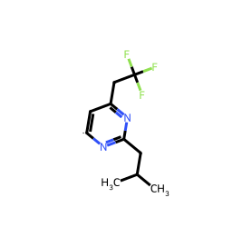 CC(C)Cc1n[c]cc(CC(F)(F)F)n1